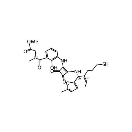 C/C=C(/CCCS)[C@@H](Nc1c(Nc2cccc(C(=O)N(C)CC(=O)OC)c2O)c(=O)c1=O)c1ccc(C)o1